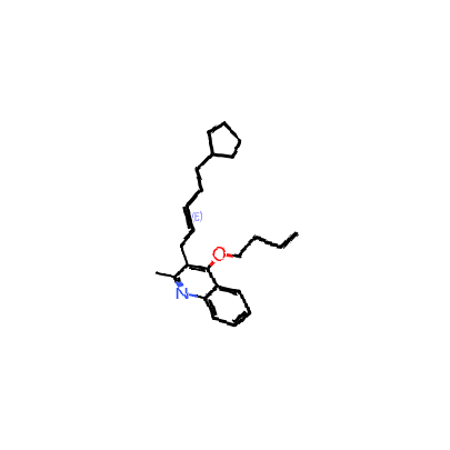 CCCCOc1c(C/C=C/CCC2CCCC2)c(C)nc2ccccc12